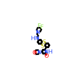 O=c1cc(N2CCOCC2)cc(-c2cccc3c2Sc2ccc(NCCN4CCC(F)(F)CC4)cc2S3)[nH]1